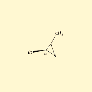 CC[C@@H]1SC1C